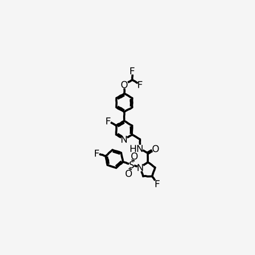 O=C(NCc1cc(-c2ccc(OC(F)F)cc2)c(F)cn1)C1CC(F)CN1S(=O)(=O)c1ccc(F)cc1